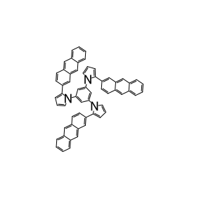 c1ccc2cc3cc(-c4cccn4-c4cc(-n5cccc5-c5ccc6cc7ccccc7cc6c5)cc(-n5cccc5-c5ccc6cc7ccccc7cc6c5)c4)ccc3cc2c1